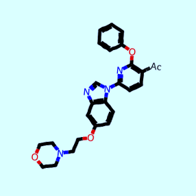 CC(=O)c1ccc(-n2cnc3cc(OCCN4CCOCC4)ccc32)nc1Oc1ccccc1